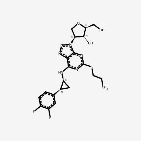 CCCSc1nc(N[C@H]2C[C@H]2c2ccc(F)c(F)c2)c2nnn([C@H]3CO[C@@H](CO)[C@@H]3O)c2n1